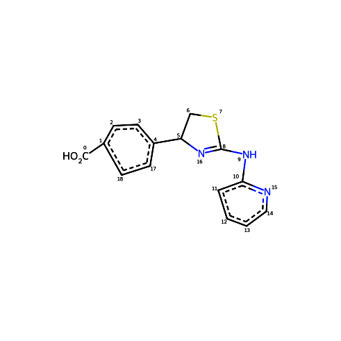 O=C(O)c1ccc(C2CSC(Nc3ccccn3)=N2)cc1